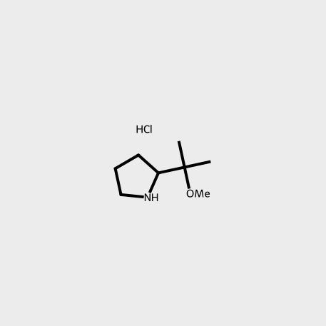 COC(C)(C)C1CCCN1.Cl